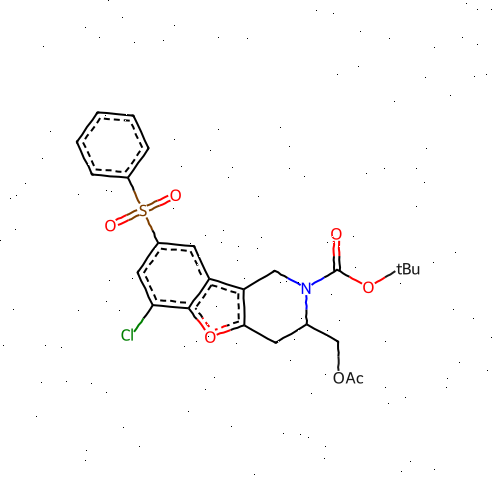 CC(=O)OCC1Cc2oc3c(Cl)cc(S(=O)(=O)c4ccccc4)cc3c2CN1C(=O)OC(C)(C)C